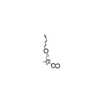 Cc1oc(-c2ccc3ccccc3c2)nc1COc1ccc(/C=C/C=C/C#N)cc1